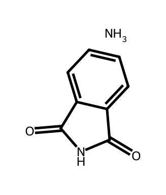 N.O=C1NC(=O)c2ccccc21